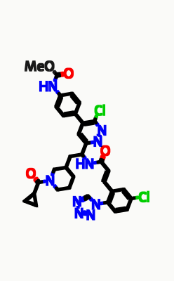 COC(=O)Nc1ccc(-c2cc(C(CC3CCCN(C(=O)C4CC4)C3)NC(=O)/C=C/c3cc(Cl)ccc3-n3cnnn3)nnc2Cl)cc1